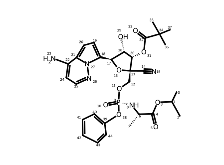 CC(C)OC(=O)[C@H](C)N[P@](=O)(OC[C@@]1(C#N)O[C@@H](c2ccc3c(N)ccnn23)[C@H](O)[C@@H]1OC(=O)C(C)(C)C)Oc1ccccc1